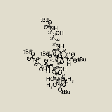 CN(C(=O)OC(C)(C)C)[C@@H]1[C@@H](O)[C@@H](O[C@@H]2[C@@H](O)[C@H](O[C@H]3OC(CNCCCC(O)CNC(=O)OC(C)(C)C)=CC[C@H]3NC(=O)OC(C)(C)C)[C@@H](NC(=O)OC(C)(C)C)C[C@H]2NC(=O)C(O)C2CN(C(=O)OC(C)(C)C)C2)OC[C@]1(C)O